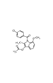 COc1cccc2c(OC(C)=O)c(C)n(C(=O)c3ccc(Cl)cc3)c12